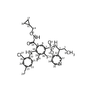 CCC(NS(=O)(=O)c1cc(C(=O)NOCC2CC2)c(Nc2ccc(I)cc2Cl)c(F)c1F)c1cccnc1